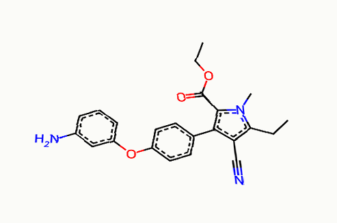 CCOC(=O)c1c(-c2ccc(Oc3cccc(N)c3)cc2)c(C#N)c(CC)n1C